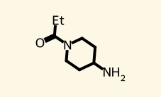 CCC(=O)N1CCC(N)CC1